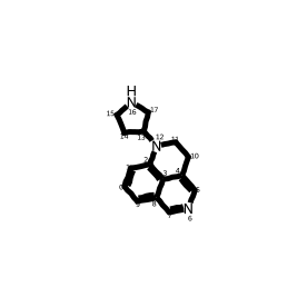 c1cc2c3c(cncc3c1)CCN2C1CCNC1